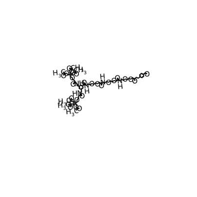 CC(=O)OCC(COCCC(=O)NCc1cc(CNC(=O)CCOCC(COC(C)=O)(COC(C)=O)COC(C)=O)cc(C(=O)NCCOCCOCC(=O)NCCOCCOCC(=O)NCCOCCOCC(=O)CCc2ccc(C=O)cc2)c1)(COC(C)=O)COC(C)=O